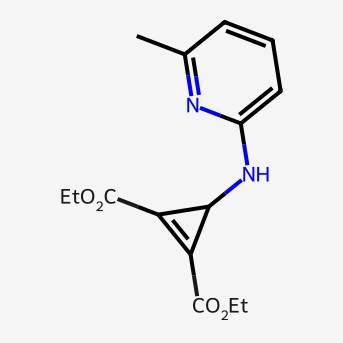 CCOC(=O)C1=C(C(=O)OCC)C1Nc1cccc(C)n1